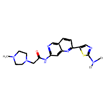 CCN(CC)c1ncc(-c2ccc3cnc(NC(=O)CN4CCN(C)CC4)cc3n2)s1